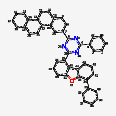 c1ccc(-c2nc(-c3ccc4ccc5c6ccccc6ccc5c4c3)nc(-c3cccc4oc5c(-c6ccccc6)cccc5c34)n2)cc1